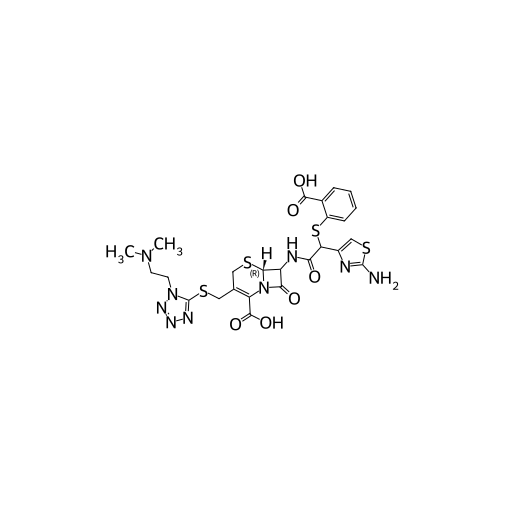 CN(C)CCn1nnnc1SCC1=C(C(=O)O)N2C(=O)C(NC(=O)C(Sc3ccccc3C(=O)O)c3csc(N)n3)[C@H]2SC1